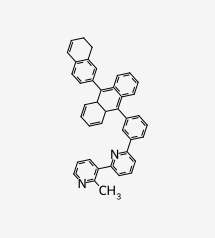 Cc1ncccc1-c1cccc(-c2cccc(C3=c4ccccc4=C(c4ccc5c(c4)CCC=C5)C4C=CC=CC34)c2)n1